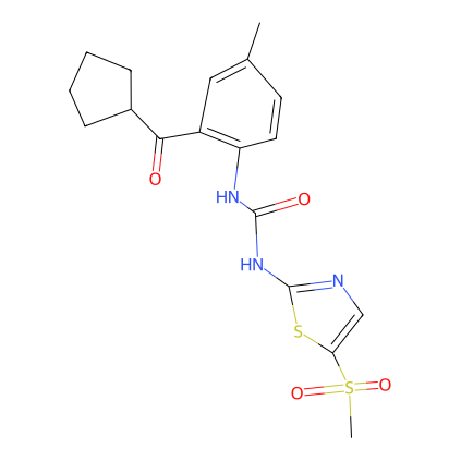 Cc1ccc(NC(=O)Nc2ncc(S(C)(=O)=O)s2)c(C(=O)C2CCCC2)c1